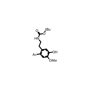 COc1cc(C(C)=O)c(CCNC(=O)OC(C)(C)C)cc1O